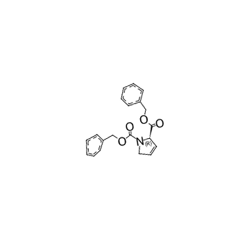 O=C(OCc1ccccc1)[C@H]1C=CCN1C(=O)OCc1ccccc1